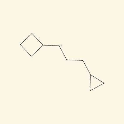 [CH](CCC1CC1)C1CCC1